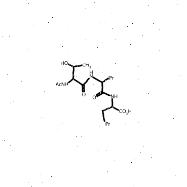 CC(=O)NC(C(=O)NC(C(=O)NC(CC(C)C)C(=O)O)C(C)C)C(C)O